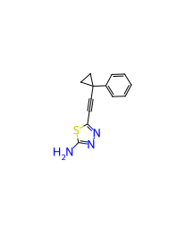 Nc1nnc(C#CC2(c3ccccc3)CC2)s1